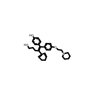 OCCC/C(C1=CCCC=C1)=C(\c1ccc(O)cc1)c1ccc(OCCN2CCCCC2)cc1